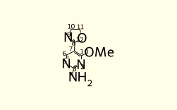 COc1nc(N)ncc1C1=NCCO1